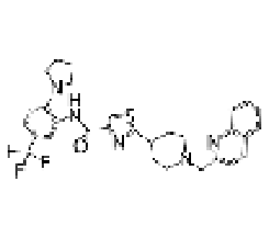 O=C(Nc1cc(C(F)(F)F)ccc1N1CCCC1)c1csc(C2CCN(Cc3ccc4ccccc4n3)CC2)n1